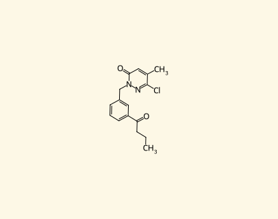 CCCC(=O)c1cccc(Cn2nc(Cl)c(C)cc2=O)c1